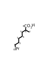 CC(C)CCCCCC(C)C(=O)O